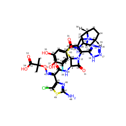 CC(C)(O/N=C(\C(=O)N[C@@H]1C(=O)N2C(c3nnn[nH]3)=C(C[N+]3(C)[C@@H]4CC[C@H]3CC(NC(=O)c3cc(O)c(O)c(F)c3)C4)CS[C@H]12)c1nc(N)sc1Cl)C(=O)O